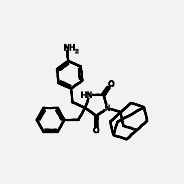 Nc1ccc(CC2(Cc3ccccc3)NC(=O)N(C34CC5CC(CC(C5)C3)C4)C2=O)cc1